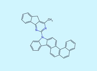 Cc1nc(-n2c3ccccc3c3c4ccc5ccc6ccccc6c5c4ccc32)nc2c1Cc1ccccc1-2